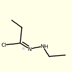 CCN/N=C(/Cl)CC